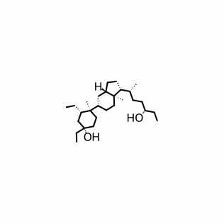 CC[C@H](O)CC[C@@H](C)[C@H]1CC[C@H]2C[C@@H]([C@@]3(C)CC[C@@](O)(CC)C[C@@H]3CC)CC[C@@]21C